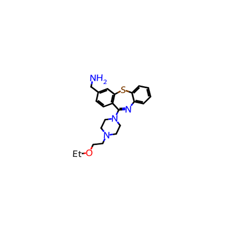 CCOCCN1CCN(C2=Nc3ccccc3Sc3cc(CN)ccc32)CC1